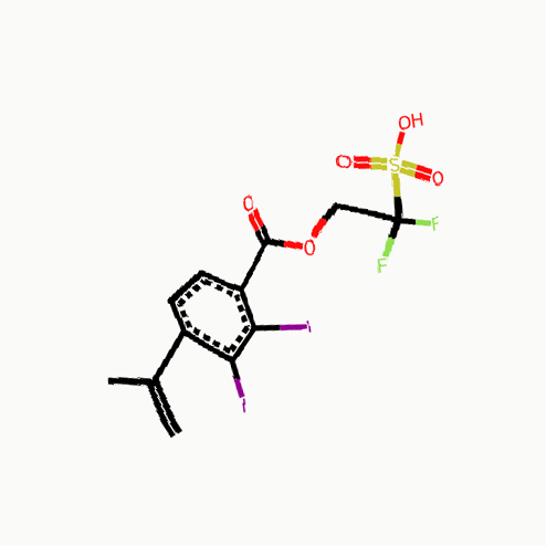 C=C(C)c1ccc(C(=O)OCC(F)(F)S(=O)(=O)O)c(I)c1I